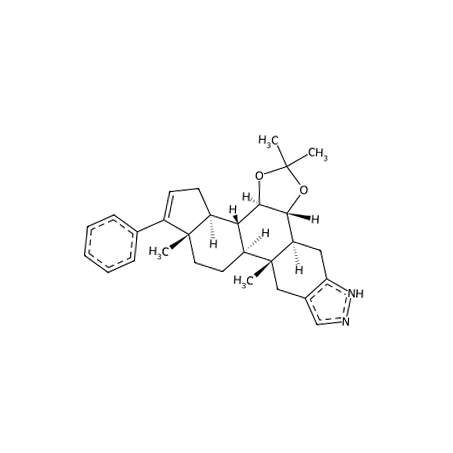 CC1(C)O[C@H]2[C@H](O1)[C@H]1Cc3[nH]ncc3C[C@]1(C)[C@H]1CC[C@]3(C)C(c4ccccc4)=CC[C@H]3[C@H]21